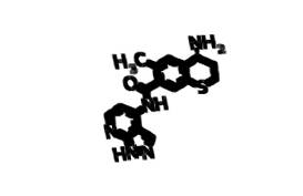 Cc1cc2c(cc1C(=O)Nc1ccnc3[nH]ncc13)SCC[C@H]2N